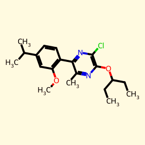 CCC(CC)Oc1nc(C)c(-c2ccc(C(C)C)cc2OC)nc1Cl